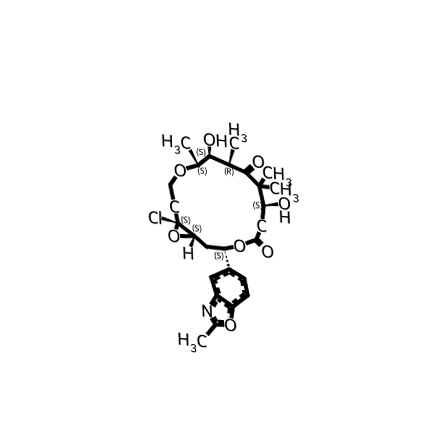 Cc1nc2cc([C@@H]3C[C@@H]4O[C@]4(Cl)CCO[C@@H](C)[C@@H](O)[C@@H](C)C(=O)C(C)(C)[C@@H](O)CC(=O)O3)ccc2o1